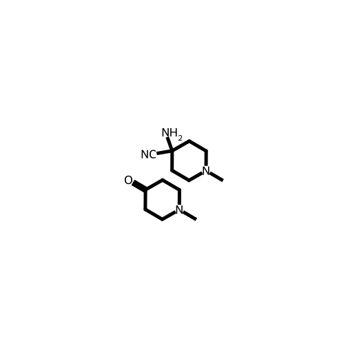 CN1CCC(=O)CC1.CN1CCC(N)(C#N)CC1